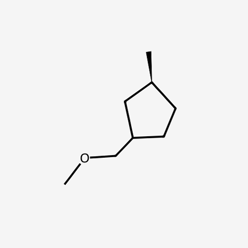 COCC1CC[C@H](C)C1